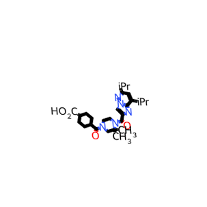 CC(C)c1cc(C(C)C)c2nc(C(=O)N3CCN(C(=O)C4CCC(C(=O)O)CC4)CC3(C)C)cn2n1